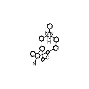 N#Cc1cc2c(c3ccccc13)-c1ccccc1C21c2ccccc2Oc2cc(-c3cccc(-c4cccc(C5N=C(C6C=CC=CC6)N=C(c6ccccc6)N5)c4)c3)ccc21